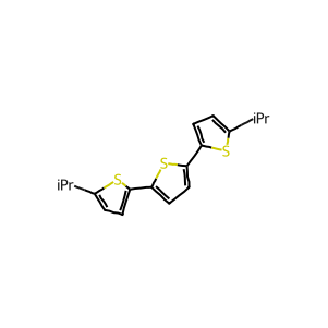 CC(C)c1ccc(-c2ccc(-c3ccc(C(C)C)s3)s2)s1